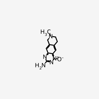 CN1CCc2cc3c(cc2C1)nc(N)n[n+]3[O-]